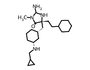 CN1C(=O)[C@@](CCC2CCCCC2)(C[C@H]2CCC[C@@H](NCC3CC3)C2)NC1N